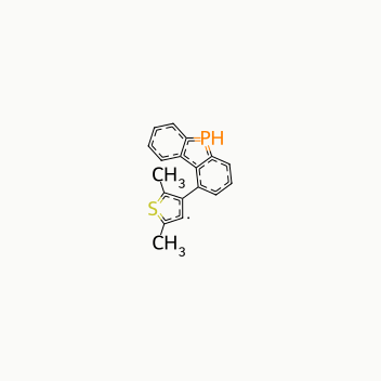 Cc1[c]c(-c2cccc3[pH]c4ccccc4c23)c(C)s1